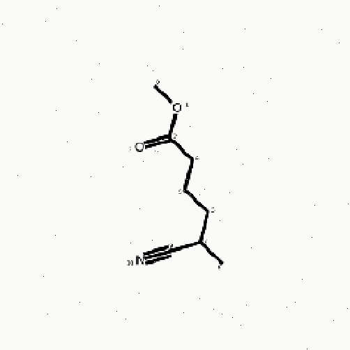 COC(=O)CCCC(C)C#N